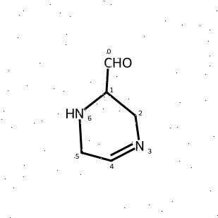 O=CC1CN=CCN1